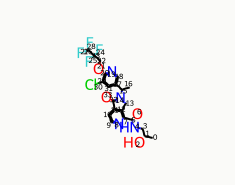 CC(O)CNC(=O)c1nccc2c1CN(C(C)c1cnc(OCC(F)(F)C(F)F)c(Cl)c1)C2=O